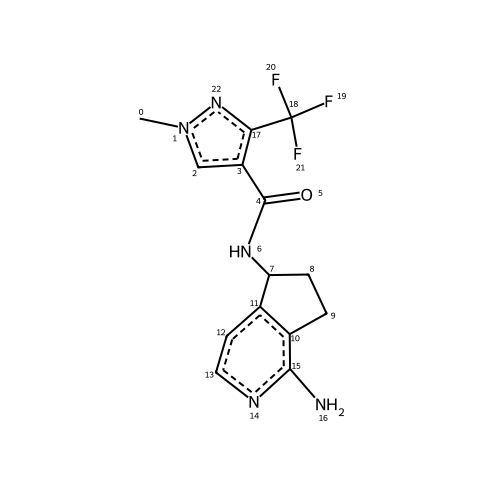 Cn1cc(C(=O)NC2CCc3c2ccnc3N)c(C(F)(F)F)n1